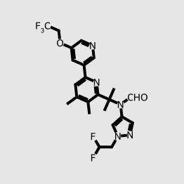 Cc1cc(-c2cncc(OCC(F)(F)F)c2)nc(C(C)(C)N(C=O)c2cnn(CC(F)F)c2)c1C